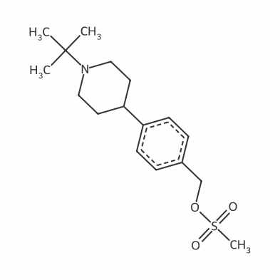 CC(C)(C)N1CCC(c2ccc(COS(C)(=O)=O)cc2)CC1